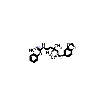 CCN(CC(C)(C)CCN/C(=N/C#N)Oc1ccccc1)Sc1ccc2c(c1)OCO2